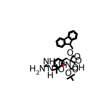 CC(C)(C)OC(=O)N(C(=O)OC(C)(C)C)[C@@](Cc1ccc(NC(=N)N)cc1)(C(=O)O)C(=O)OCC1c2ccccc2-c2ccccc21